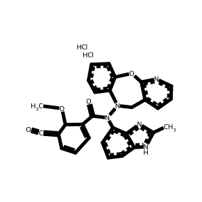 COC1C(=C=O)C=CC=C1C(=O)N(c1cccc2[nH]c(C)nc12)N1Cc2cccnc2Oc2ccccc21.Cl.Cl